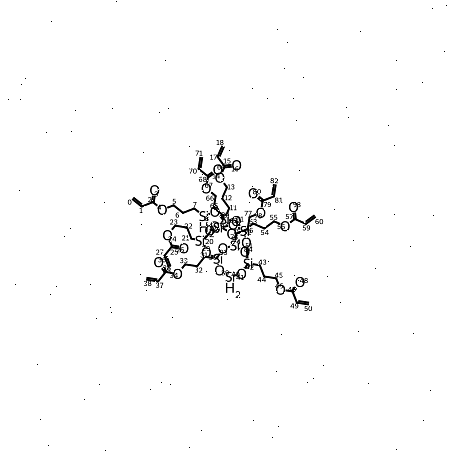 C=CC(=O)OCCC[SiH2]O[Si]1(CCCOC(=O)C=C)O[Si]2(CCCOC(=O)C=C)O[Si]3(CCCOC(=O)C=C)O[SiH2]O[Si]4(CCCOC(=O)C=C)O[Si](CCCOC(=O)C=C)(O1)O[Si](CCCOC(=O)C=C)(O2)O[Si](CCCOC(=O)C=C)(O3)O4